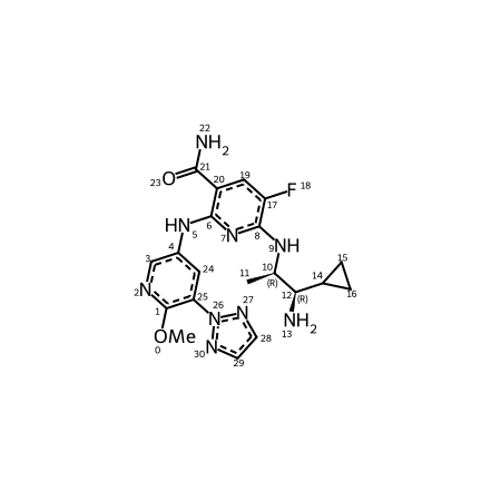 COc1ncc(Nc2nc(N[C@H](C)[C@H](N)C3CC3)c(F)cc2C(N)=O)cc1-n1nccn1